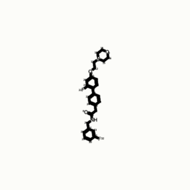 O=C(Cc1ccc(-c2ccc(OCCN3CCOCC3)cc2F)cc1)NCc1cccc(F)c1